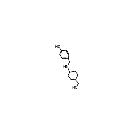 N#CCC1CCC(NCc2ccc(C#N)cc2)CC1